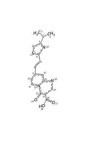 CC(C)c1csc(C=Cc2ccn3c(=O)c(C(=O)O)cnc3c2)n1